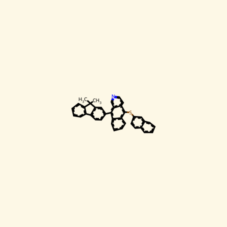 CC1(C)c2ccccc2-c2ccc(-c3c4ccccc4c(Sc4ccc5ccccc5c4)c4ccncc34)cc21